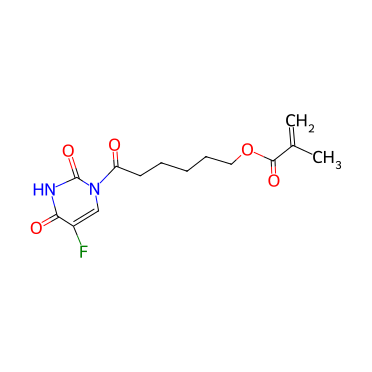 C=C(C)C(=O)OCCCCCC(=O)n1cc(F)c(=O)[nH]c1=O